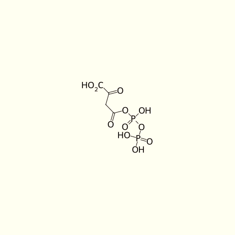 O=C(CC(=O)C(=O)O)OP(=O)(O)OP(=O)(O)O